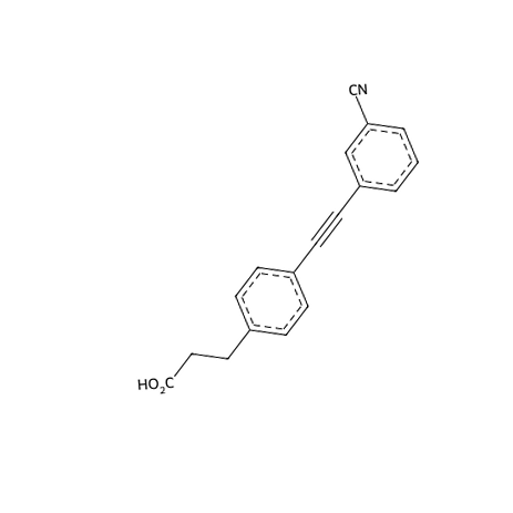 N#Cc1cccc(C#Cc2ccc(CCC(=O)O)cc2)c1